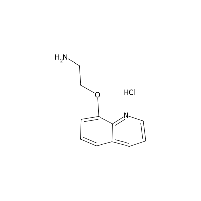 Cl.NCCOc1cccc2cccnc12